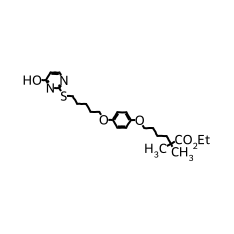 CCOC(=O)C(C)(C)CCCCOc1ccc(OCCCCCSc2nccc(O)n2)cc1